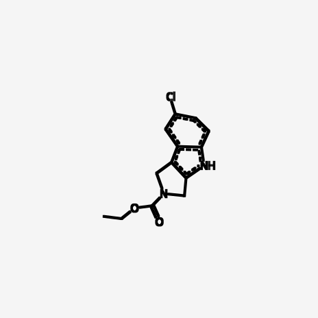 CCOC(=O)N1Cc2[nH]c3ccc(Cl)cc3c2C1